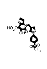 CS(=O)(=O)c1ccc(-n2cc(Cn3c(=O)c(O)c(C(=O)O)c4sccc43)cn2)cc1